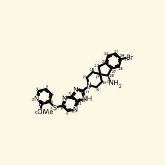 COc1ncccc1Sc1cnc2[nH]c(N3CCC4(CC3)Cc3ccc(Br)cc3[C@H]4N)nc2n1